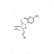 CC(C)/C=C/[C@]1(CO)O[C@@H](n2ccc(N)nc2=O)[C@H](F)[C@@H]1O